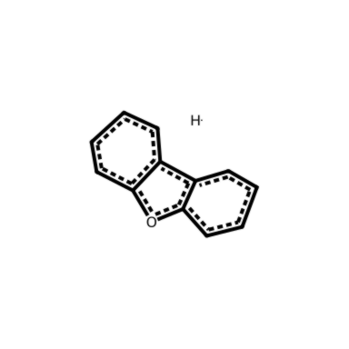 [H].c1ccc2c(c1)oc1ccccc12